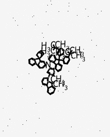 CC(C)(C)c1cccc(C2(c3cccc(C(C)(C)C)c3)c3ccccc3-c3c(N(c4cccc(-c5cccc6c5C(C)(C)c5ccccc5-6)c4)c4ccc5c(c4)C4(CC6CCC4C6)c4ccccc4-5)cccc32)c1